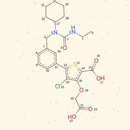 CCNC(=O)N(Cc1cccc(-c2sc(C(=O)O)c(OCC(=O)O)c2Cl)c1)C1CCCCC1